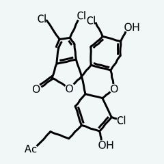 CC(=O)CCC1=CC2C(Oc3cc(O)c(Cl)cc3C23OC(=O)c2cc(Cl)c(Cl)cc23)C(Cl)=C1O